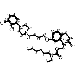 CCCCCCN(CC)C(=O)OCN1C(=O)CCc2ccc(OCCCCN3CCN(c4cccc(Cl)c4Cl)CC3)cc21